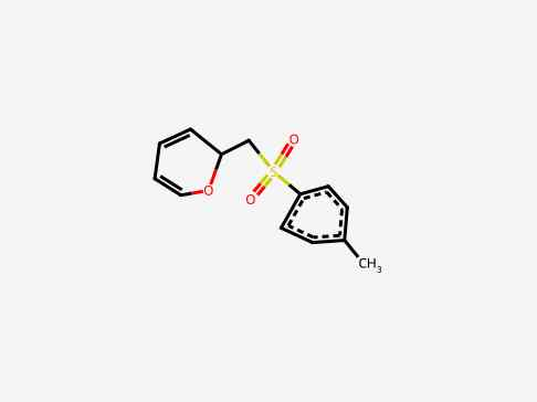 Cc1ccc(S(=O)(=O)CC2C=CC=CO2)cc1